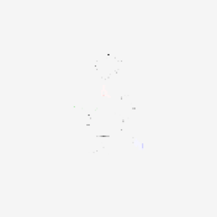 CC1(C)[C@@H]([C@@H](C#N)c2cccc(Oc3ccccc3)c2)[C@H]1C=C(Cl)Cl